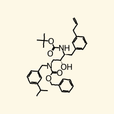 C=CCc1cccc(C[C@H](NC(=O)OC(C)(C)C)[C@H](O)CN(Cc2cccc(C(C)C)c2)C(=O)OCc2ccccc2)c1